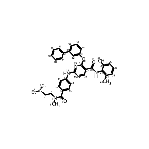 CCN(CC)CCN(C)C(=O)c1ccc(Nc2ncc(C(=O)Nc3c(C)cccc3C)c(Oc3cccc(-c4ccccc4)c3)n2)cc1